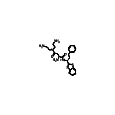 NCCN(CCN)C(=O)C[C@H](N)C(=O)N[C@@H](CCc1ccccc1)c1nc2ccccc2s1